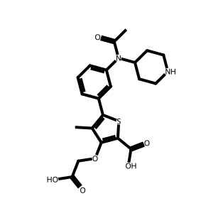 CC(=O)N(c1cccc(-c2sc(C(=O)O)c(OCC(=O)O)c2C)c1)C1CCNCC1